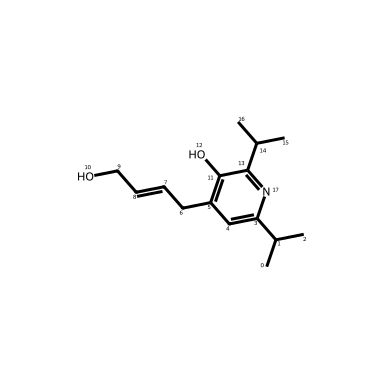 CC(C)c1cc(CC=CCO)c(O)c(C(C)C)n1